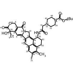 CC[C@@]1(O)C(=O)OCc2c1cc1n(c2=O)Cc2c-1nc1cc(F)c(C)c3c1c2[C@@H](NC(=O)CN1CCN(C(=O)OC(C)(C)C)CC1)CC3